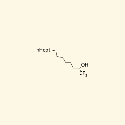 CCCCCCCCCCCCCC(O)C(F)(F)F